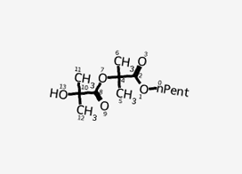 CCCCCOC(=O)C(C)(C)OC(=O)C(C)(C)O